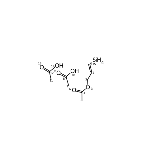 C=CCOC(C)=O.CC(=O)O.CC(=O)O.[SiH4]